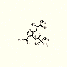 CC(=N)C(=N)Cn1ncc(C(N)=O)c1NC(=O)C(C)(C)C